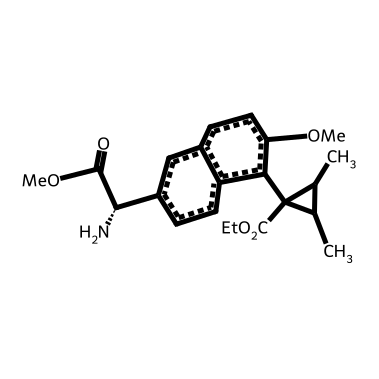 CCOC(=O)C1(c2c(OC)ccc3cc([C@H](N)C(=O)OC)ccc23)C(C)C1C